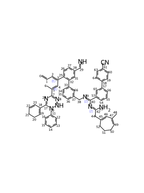 C=C/C=C(\C=C(/C)C1=NNN(c2ccccc2)C(C2=CCCC=C2)=N1)c1ccc(C=N)cc1-c1cccc(C/N=C(\N=C(/N)CC2=CC(C)=CCCC2)c2cccc(-c3ccc(C#N)cc3)c2)c1